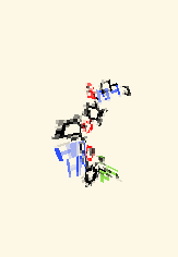 CNC(=O)c1ccc(Oc2ccccc2CNC(=O)Nc2cccc(C(F)(F)F)c2)cc1